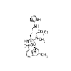 CCOC(=O)CN(C)C(=O)[C@H](CCCNc1ncc[nH]1)NS(=O)(=O)c1cccc2c1NCC(C)C2